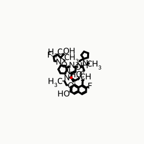 C#Cc1c(F)ccc2cc(O)cc([C@H]3COc4c(nc(OC[C@]5(C(C)(C)O)C[C@@H](F)CN5C5CCC(N6CCOC[C@@H]6C)CC5)nc4NCC4(N(C)C(=O)C=C)CCCC4)C3)c12